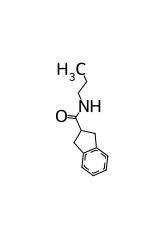 CCCNC(=O)C1Cc2ccccc2C1